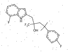 CC(C)(CC(O)(Cc1cc2cccc(F)c2[nH]1)C(F)(F)F)c1ccc(F)cc1